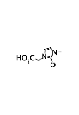 Cn1ccn(CC(=O)O)c1=O